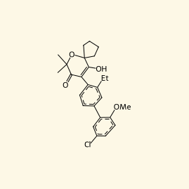 CCc1cc(-c2cc(Cl)ccc2OC)ccc1C1=C(O)C2(CCCC2)OC(C)(C)C1=O